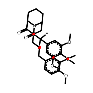 COc1ccc(CCCN2CC3CCCC(C2=O)N3C(=O)C(F)(F)c2cc(OC)c(OC)c(OC)c2)cc1OC